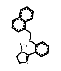 CN1CCN=C1c1ccccc1SCc1cccc2ccccc12